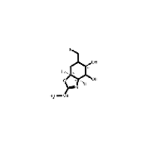 CNC1=N[C@@H]2C(O)[C@H](O)C(CF)C[C@@H]2O1